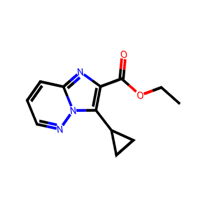 CCOC(=O)c1nc2cccnn2c1C1CC1